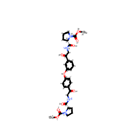 CC(C)(C)OC(=O)N1CCC[C@H]1C(=O)NCC(=O)c1ccc(Oc2cccc(C(=O)CNC(=O)[C@@H]3CCCN3C(=O)OC(C)(C)C)c2)cc1